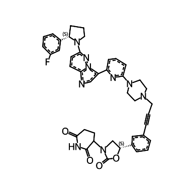 O=C1CCC(N2C[C@H](c3cccc(C#CCN4CCN(c5cccc(-c6cnc7ccc(N8CCC[C@H]8c8cccc(F)c8)nn67)n5)CC4)c3)OC2=O)C(=O)N1